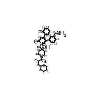 C[C@H](CC1CCCCC1)C(=O)N1CCC(O)(Cn2cc(-c3cccc(CN)c3)c(-c3ccccc3F)cc2=O)CC1